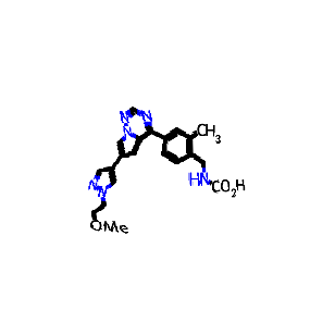 COCCn1cc(-c2cc3c(-c4ccc(CNC(=O)O)c(C)c4)ncnn3c2)cn1